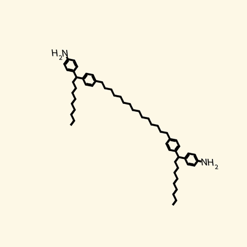 CCCCCCCCCC(c1ccc(N)cc1)c1ccc(CCCCCCCCCCCCCCCc2ccc(C(CCCCCCCCC)c3ccc(N)cc3)cc2)cc1